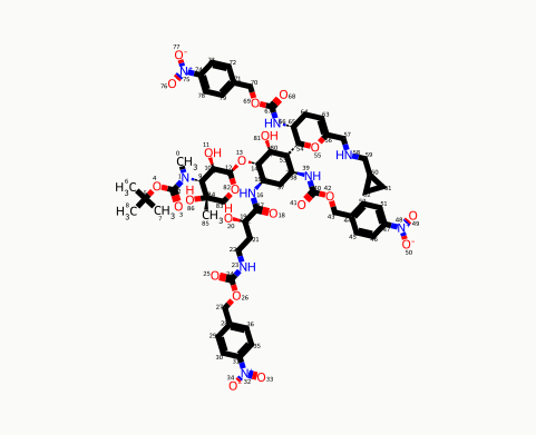 CN(C(=O)OC(C)(C)C)[C@@H]1[C@@H](O)[C@@H](O[C@H]2[C@H](NC(=O)[C@H](O)CCNC(=O)OCc3ccc([N+](=O)[O-])cc3)C[C@H](NC(=O)OCc3ccc([N+](=O)[O-])cc3)C([C@H]3OC(CNCC4CC4)=CC[C@H]3NC(=O)OCc3ccc([N+](=O)[O-])cc3)[C@@H]2O)OC[C@]1(C)O